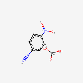 N#[N+]c1ccc([N+](=O)[O-])cc1.[O-]B(O)O